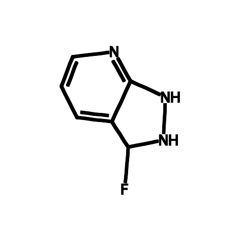 FC1NNc2ncccc21